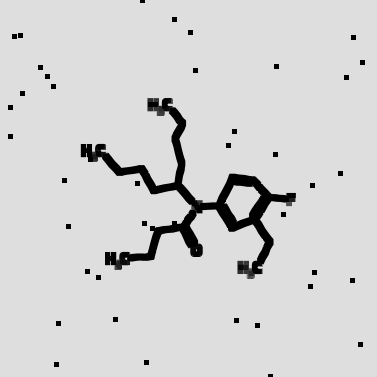 CCCCC(CCCC)N(C(=O)CCC)c1ccc(F)c(CC)c1